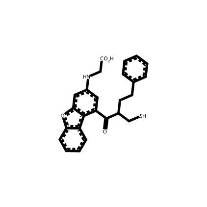 O=C(O)CNc1cc(C(=O)C(CS)CCc2ccccc2)c2c(c1)oc1ccccc12